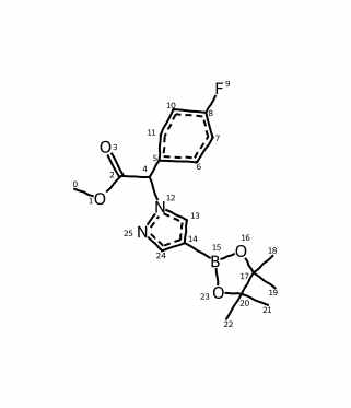 COC(=O)C(c1ccc(F)cc1)n1cc(B2OC(C)(C)C(C)(C)O2)cn1